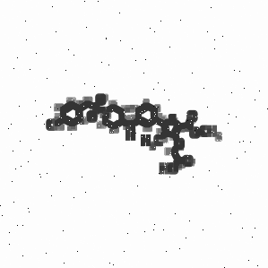 COC(=O)c1sc(-c2cccc(NC3CCN(S(=O)(=O)Cc4ccc(Cl)cc4)CC3)c2)c(C)c1OCC(=O)O